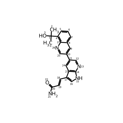 CC(C)(O)c1cccc2cc(-c3cnc4[nH]cc(/C=C/C(N)=O)c4c3)cnc12